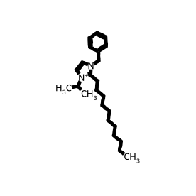 CCCCCCCCCCCc1n(Cc2ccccc2)cc[n+]1C(C)C